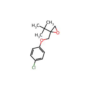 CC(C)(C)C1(COc2ccc(Cl)cc2)CO1